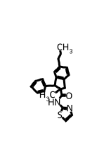 CCCc1ccc2c(c1)C(c1ccccc1)C(C)(C(=O)Nc1nccs1)C2